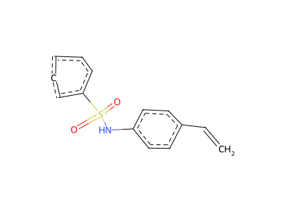 C=Cc1ccc(NS(=O)(=O)c2ccccc2)cc1